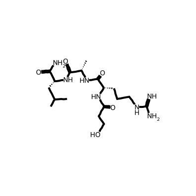 CC(C)C[C@@H](NC(=O)[C@H](C)NC(=O)[C@H](CCCNC(=N)N)NC(=O)CCO)C(N)=O